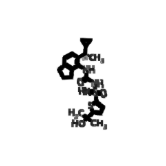 C[C@H](c1ccc2c(c1NC(=O)NS(=N)(=O)c1ccc(C(C)(C)O)s1)CCC2)C1CC1